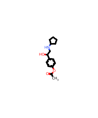 CC(=O)Oc1ccc(C(O)CNC2CCCC2)cc1